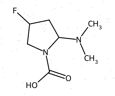 CN(C)C1CC(F)CN1C(=O)O